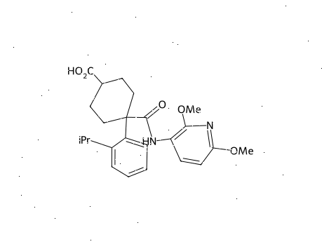 COc1ccc(NC(=O)C2(c3ccccc3C(C)C)CCC(C(=O)O)CC2)c(OC)n1